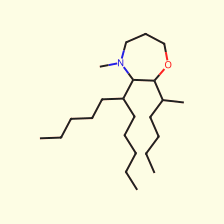 CCCCCC(CCCCC)C1C(C(C)CCCC)OCCCN1C